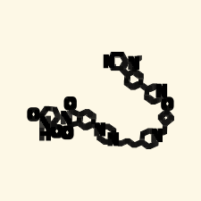 Cn1c2ccncc2c2ccc(-c3ccc(O[C@H]4C[C@H](CN5CCC(CCCN6CCN(c7ccc8c(c7)C(=O)N(C7CCC(=O)NC7=O)C8=O)CC6)CC5)C4)nc3)cc21